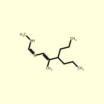 CCCC(CCC)/C(C)=C/N=C\NC